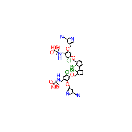 C[C@@](CO)(NCc1cc(Cl)c(OCc2cccc(-c3cccc(COc4cc(OCc5cncc(C#N)c5)c(CN[C@@](C)(CO)C(=O)O)cc4Cl)c3Br)c2Br)cc1OCc1cncc(C#N)c1)C(=O)O